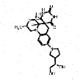 C[C@@H]1CN2c3ccc(N4CCC([C@@H](O)CO)C4)cc3CC3(C(=O)NC(=O)NC3=O)[C@H]2[C@H](C)O1